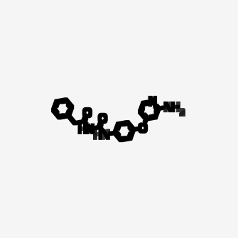 Nc1cc(Oc2ccc(NC(=O)NC(=O)Cc3ccccc3)cc2)ccn1